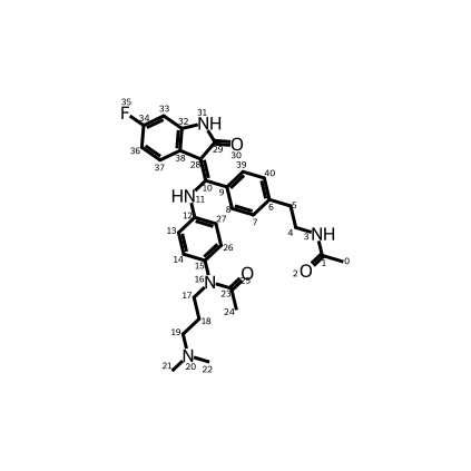 CC(=O)NCCc1ccc(C(Nc2ccc(N(CCCN(C)C)C(C)=O)cc2)=C2C(=O)Nc3cc(F)ccc32)cc1